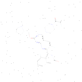 C=C(F)C(=O)N1CCN(c2nc(OC[C@@H]3CCCN3C)nc3nc(-c4[nH]c(=O)cc5cccc(F)c45)c(F)cc23)C[C@@H]1CC#N